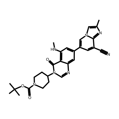 CNc1cc(-c2cc(C#N)c3nc(C)cn3c2)cc2ncn(C3CCN(C(=O)OC(C)(C)C)CC3)c(=O)c12